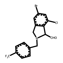 O=CC1c2c(Cl)cc(Br)cc2CN1Cc1ccc(C(F)(F)F)cc1